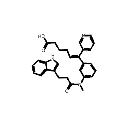 CN(C(=O)CCc1c[nH]c2ccccc12)c1cccc(C(=CCCCC(=O)O)c2cccnc2)c1